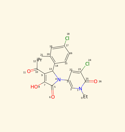 CCn1cc(N2C(=O)C(O)=C(C(=O)C(C)C)C2c2ccc(Cl)cc2C)cc(Cl)c1=O